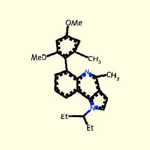 CCC(CC)n1ccc2c(C)nc3c(-c4c(C)cc(OC)cc4OC)cccc3c21